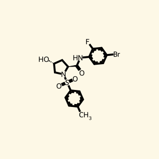 Cc1ccc(S(=O)(=O)N2C[C@H](O)C[C@H]2C(=O)Nc2ccc(Br)cc2F)cc1